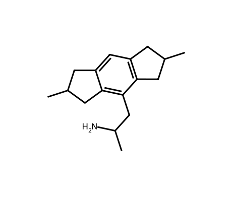 CC(N)Cc1c2c(cc3c1CC(C)C3)CC(C)C2